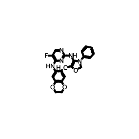 CC1=C(Nc2ncc(F)c(Nc3ccc4c(c3)OCCO4)n2)N(c2ccccc2)CO1